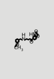 CCOc1cccc(CCNCCCCC(=O)c2ccc3c(c2)NC(=O)CO3)c1